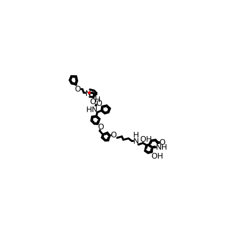 O=C(NC(c1ccccc1)c1cccc(OCc2cccc(OCCCCCNC[C@H](O)c3ccc(O)c4[nH]c(=O)ccc34)c2)c1)O[C@H]1C[N+]2(CCOc3ccccc3)CCC1CC2